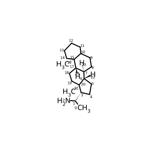 CC(N)[C@H]1CC[C@H]2[C@@H]3CCC4CCCC[C@]4(C)[C@H]3CC[C@]12C